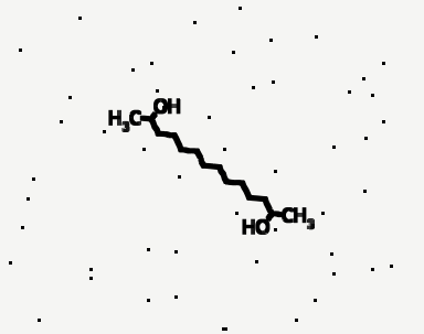 CC(O)CCCCCCCCCCC(C)O